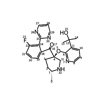 C[C@@H]1CC[C@](Oc2ncccc2C(C)(C)O)(C(=O)c2cccc(F)c2-c2ncccn2)CN1